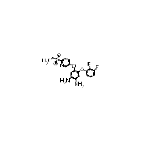 CCS(=O)(=O)c1ccc(Oc2cc(N)c(N)cc2Oc2cccc(F)c2F)cn1